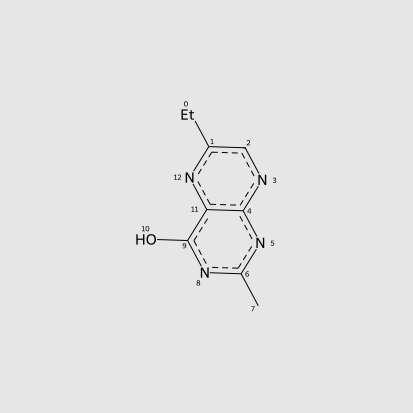 CCc1cnc2nc(C)nc(O)c2n1